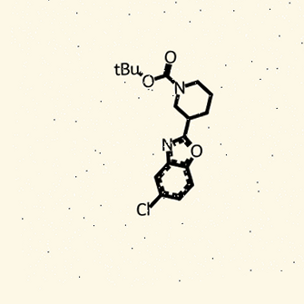 CC(C)(C)OC(=O)N1CCCC(c2nc3cc(Cl)ccc3o2)C1